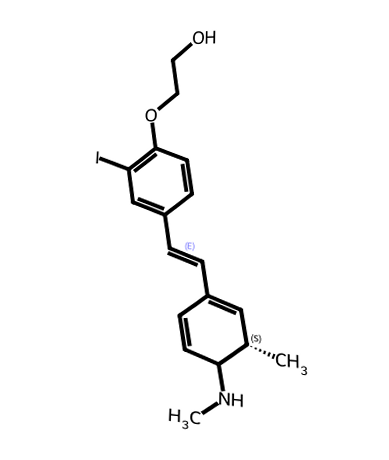 CNC1C=CC(/C=C/c2ccc(OCCO)c(I)c2)=C[C@@H]1C